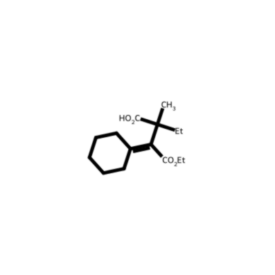 CCOC(=O)C(=C1CCCCC1)C(C)(CC)C(=O)O